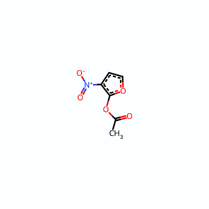 CC(=O)Oc1occc1[N+](=O)[O-]